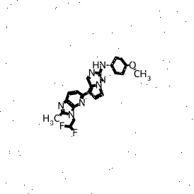 CO[C@H]1CC[C@H](Nc2ncc3c(-c4ccc5nc(C)n(CC(F)F)c5n4)ccn3n2)CC1